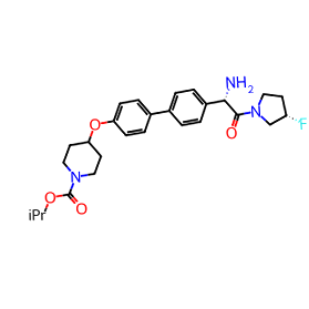 CC(C)OC(=O)N1CCC(Oc2ccc(-c3ccc([C@H](N)C(=O)N4CC[C@H](F)C4)cc3)cc2)CC1